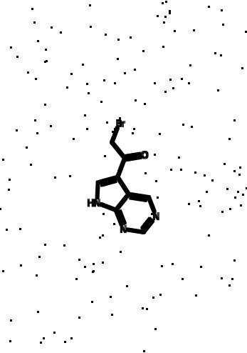 O=C(CBr)c1c[nH]c2ncncc12